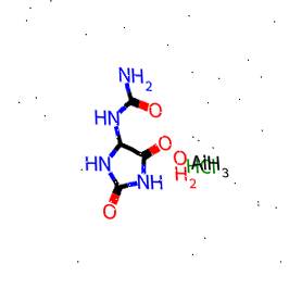 Cl.NC(=O)NC1NC(=O)NC1=O.O.[AlH3]